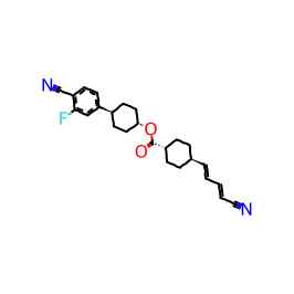 N#CC=CC=C[C@H]1CC[C@H](C(=O)O[C@H]2CC[C@H](c3ccc(C#N)c(F)c3)CC2)CC1